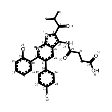 CC(C)C(=O)c1oc2nc(-c3ccccc3Cl)c(-c3ccc(Cl)cc3)cc2c1NC(=O)CCC(=O)O